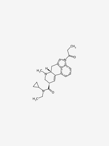 CCC(=O)n1cc2c3c(cccc31)C1=C[C@@H](C(=O)N(CC)C3CC3)CN(C)[C@@H]1C2